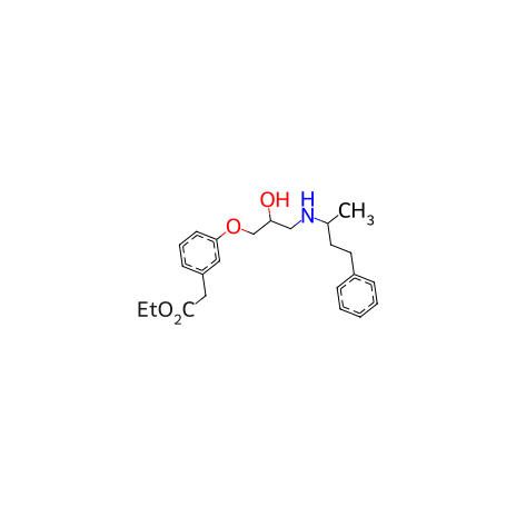 CCOC(=O)Cc1cccc(OCC(O)CNC(C)CCc2ccccc2)c1